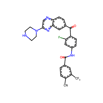 N#Cc1ccc(C(=O)Nc2ccc(C(=O)c3ccc4ncc(N5CCNCC5)nc4c3)c(F)c2)cc1C(F)(F)F